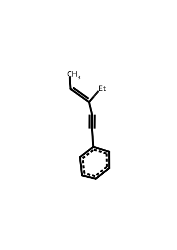 CC=C(C#Cc1ccccc1)CC